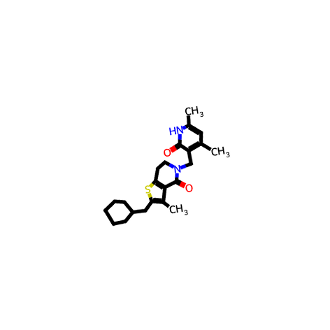 Cc1cc(C)c(CN2CCc3sc(CC4CCCCC4)c(C)c3C2=O)c(=O)[nH]1